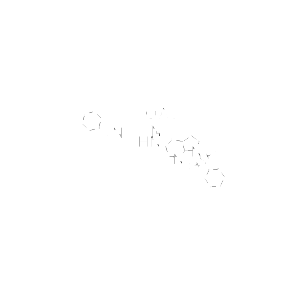 CC(=O)OC(C1CCN(Cc2ccccc2)CC1)N1Cc2c(cnc3c2ccn3S(=O)(=O)c2ccccc2)N1